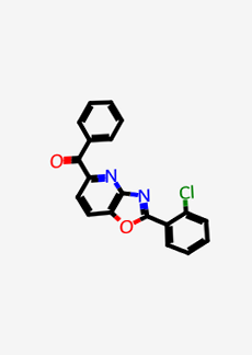 O=C(c1ccccc1)c1ccc2oc(-c3ccccc3Cl)nc2n1